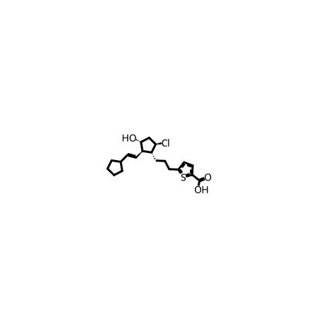 O=C(O)c1ccc(CCC[C@@H]2[C@@H](C=CC3CCCC3)[C@H](O)C[C@H]2Cl)s1